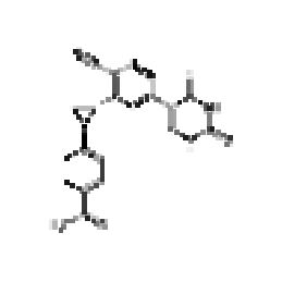 CC(=O)c1ccc([C@H]2C[C@@H]2c2cc(-c3c[nH]c(=O)[nH]c3=O)nnc2C#N)cc1